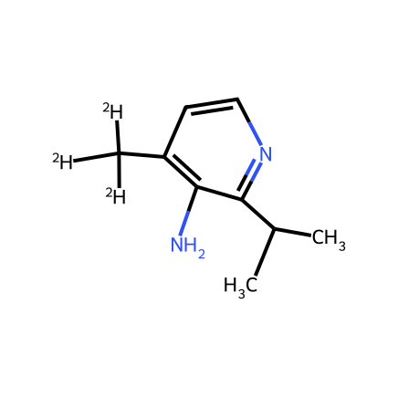 [2H]C([2H])([2H])c1ccnc(C(C)C)c1N